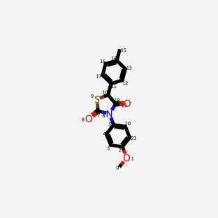 COc1ccc(N2C(=O)SC(c3ccc(C)cc3)C2=O)cc1